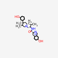 CC(C)[C@@H](CN1CC[C@](C)(c2cccc(O)c2)[C@H](C)C1)NC(=O)[C@H]1Cc2ccc(O)cc2CN1